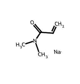 C=CC(=O)N(C)C.[Na]